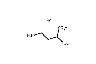 CC(C)(C)C(CCN)C(=O)O.Cl